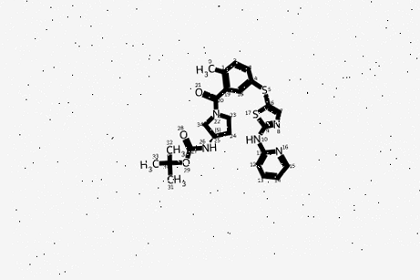 Cc1ccc(Sc2cnc(Nc3ccccn3)s2)cc1C(=O)N1CC[C@H](NC(=O)OC(C)(C)C)C1